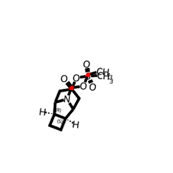 CCOC(=O)N1C2CC(OS(C)(=O)=O)CC1[C@@H]1CC[C@H]21